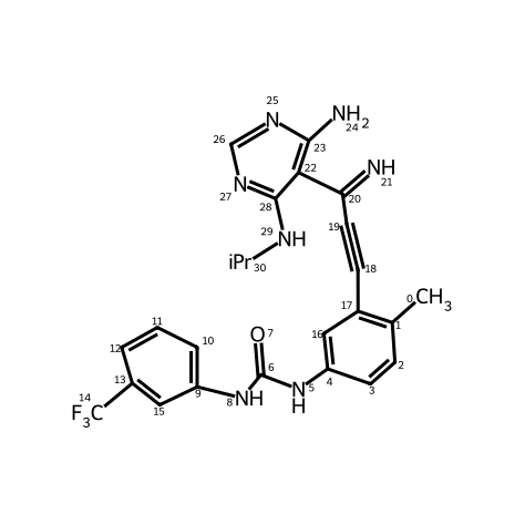 Cc1ccc(NC(=O)Nc2cccc(C(F)(F)F)c2)cc1C#CC(=N)c1c(N)ncnc1NC(C)C